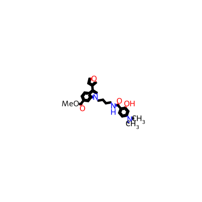 COC(=O)c1ccc2c(-c3ccoc3)cn(CCCCNC(=O)c3ccc(N(C)C)cc3O)c2c1